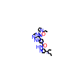 C=C/C=C(\C=C)c1ccnc(NC(=O)c2ccc(-c3nc([C@@H]4CCCN4C(=O)C=C)n4ccnc(N)c34)cc2)c1